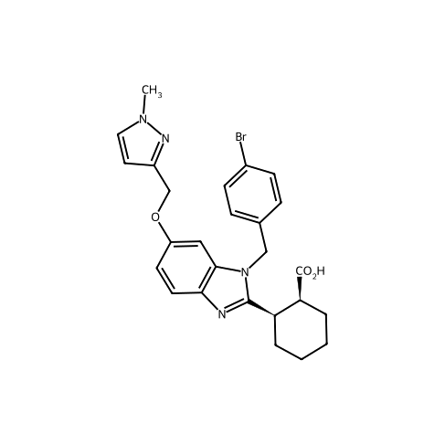 Cn1ccc(COc2ccc3nc([C@@H]4CCCC[C@@H]4C(=O)O)n(Cc4ccc(Br)cc4)c3c2)n1